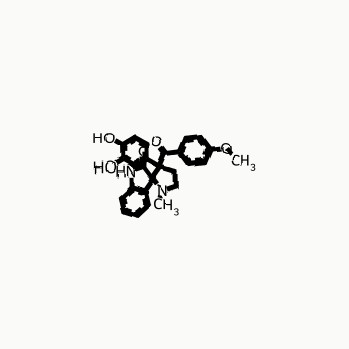 COc1ccc(C(=O)C2(c3ccc(O)c(O)c3)CCN(C)C23C(=O)Nc2ccccc23)cc1